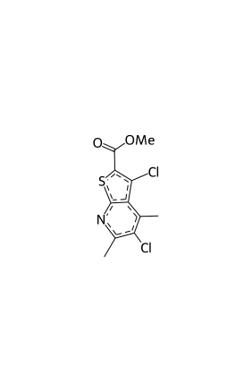 COC(=O)c1sc2nc(C)c(Cl)c(C)c2c1Cl